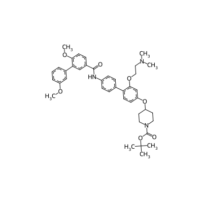 COc1cccc(-c2cc(C(=O)Nc3ccc(-c4ccc(OC5CCN(C(=O)OC(C)(C)C)CC5)cc4OCCN(C)C)cc3)ccc2OC)c1